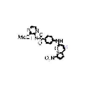 COc1nccnc1NS(=O)(=O)c1ccc(NC(=O)/C=C\c2ccc([N+](=O)[O-])s2)cc1